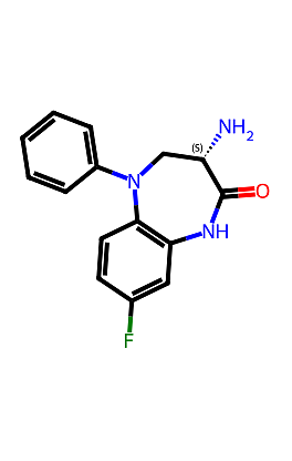 N[C@H]1CN(c2ccccc2)c2ccc(F)cc2NC1=O